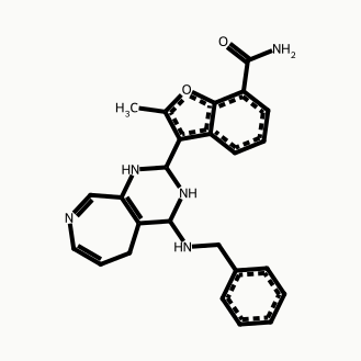 Cc1oc2c(C(N)=O)cccc2c1C1NC2=C(CC=CN=C2)C(NCc2ccccc2)N1